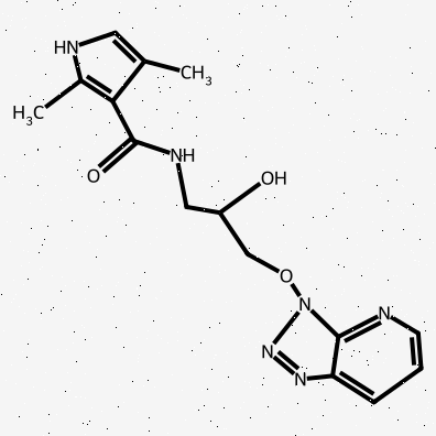 Cc1c[nH]c(C)c1C(=O)NCC(O)COn1nnc2cccnc21